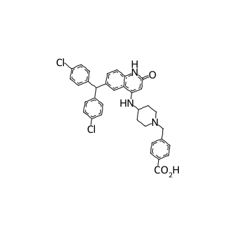 O=C(O)c1ccc(CN2CCC(Nc3cc(=O)[nH]c4ccc(C(c5ccc(Cl)cc5)c5ccc(Cl)cc5)cc34)CC2)cc1